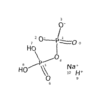 O=P([O-])([O-])OP(=O)(O)O.[H+].[Na+]